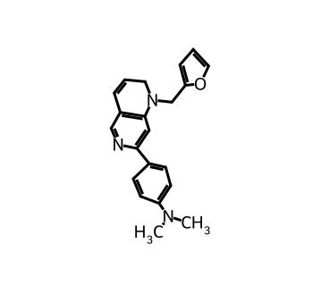 CN(C)c1ccc(-c2cc3c(cn2)C=CCN3Cc2ccco2)cc1